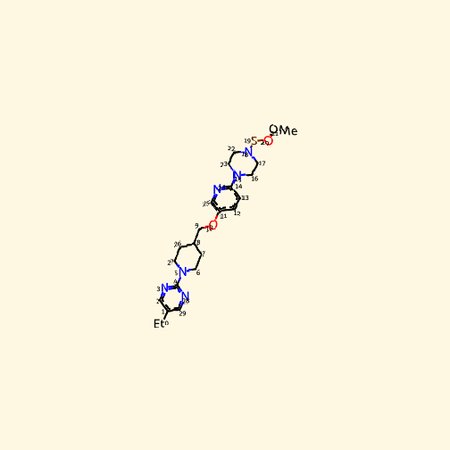 CCc1cnc(N2CCC(COc3ccc(N4CCN(SOOC)CC4)nc3)CC2)nc1